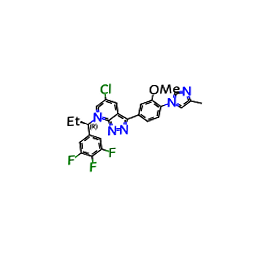 CC[C@H](c1cc(F)c(F)c(F)c1)n1cc(Cl)cc2c(-c3ccc(-n4cnc(C)c4)c(OC)c3)nnc1-2